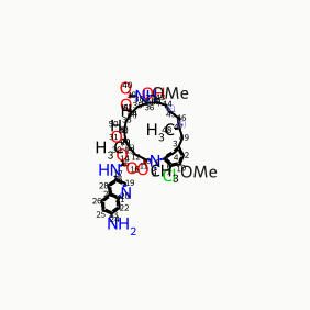 COc1cc2cc(c1Cl)N(C)C(=O)C[C@H](OC(=O)Nc1cnc3cc(N)ccc3c1)[C@]1(C)O[C@H]1C[C@@H]1C[C@@](O)(NC(=O)O1)[C@H](OC)/C=C/C=C(\C)C2